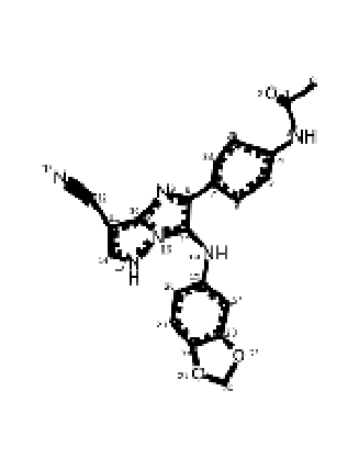 CC(=O)Nc1ccc(-c2nc3c(C#N)c[nH]n3c2Nc2ccc3c(c2)OCO3)cc1